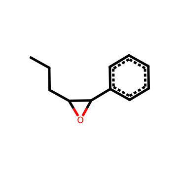 CCCC1OC1c1ccccc1